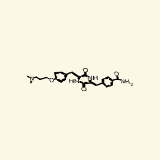 CN(C)CCCOc1ccc(C=c2[nH]c(=O)c(=Cc3ccc(C(N)=O)cc3)[nH]c2=O)cc1